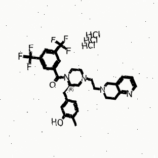 Cc1ccc(C[C@@H]2CN(CCN3CCc4ncccc4C3)CCN2C(=O)c2cc(C(F)(F)F)cc(C(F)(F)F)c2)cc1O.Cl.Cl.Cl